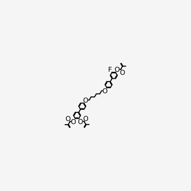 C=C(C)C(=O)Oc1ccc(-c2ccc(OCCCCCCOc3ccc(-c4ccc(OC(=O)C(=C)C)c(OC(=O)C(=C)C)c4)cc3)cc2)cc1F